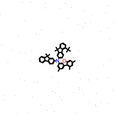 Cc1cc(C)c2c(c1)oc1c(N(c3ccc4c(c3)C(C)(C)c3ccccc3-4)c3ccc4c(c3)C(C)(C)c3cccc(C(C)(C)C)c3-4)cc(C)cc12